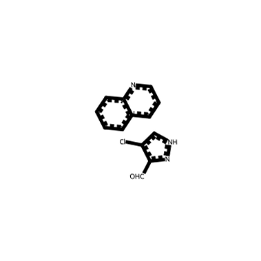 O=Cc1n[nH]cc1Cl.c1ccc2ncccc2c1